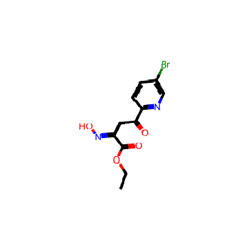 CCOC(=O)/C(CC(=O)c1ccc(Br)cn1)=N/O